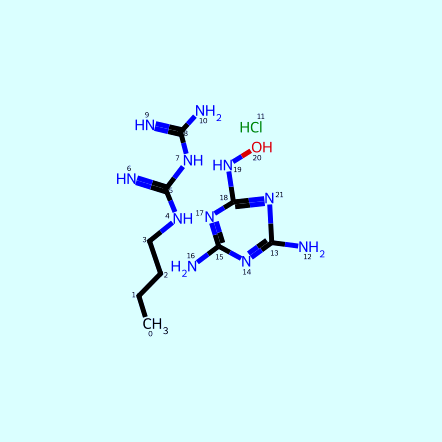 CCCCNC(=N)NC(=N)N.Cl.Nc1nc(N)nc(NO)n1